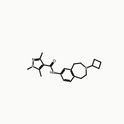 Cc1nn(C)c(C)c1C(=O)Nc1ccc2c(c1)CCN(C1CCC1)CC2